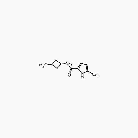 Cc1ccc(C(=O)NC2CC(C)C2)[nH]1